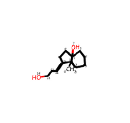 CC12CCCCC1(O)CCC2=CCCO